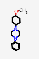 COC1CCC(N2CCN(c3ccccc3)CC2)CC1